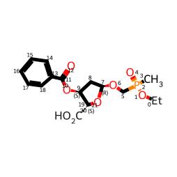 CCOP(C)(=O)CO[C@@H]1C[C@H](OC(=O)c2ccccc2)[C@@H](C(=O)O)O1